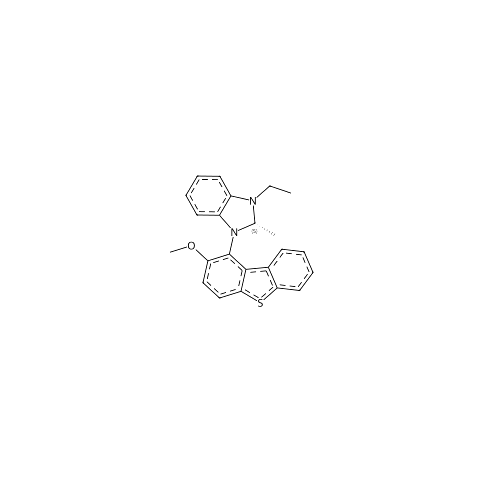 CCN1c2ccccc2N(c2c(OC)ccc3sc4ccccc4c23)[C@H]1C